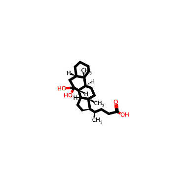 C[C@H](CCC(=O)O)[C@H]1CC[C@H]2[C@H]3[C@H](CC[C@]12C)[C@@]1(C)CCCC[C@H]1CC3(O)O